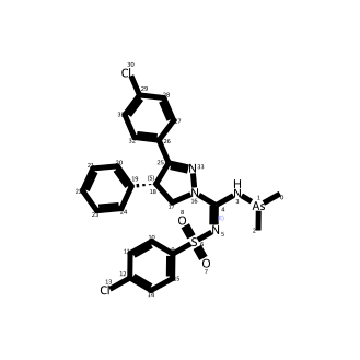 C[As](C)N/C(=N/S(=O)(=O)c1ccc(Cl)cc1)N1C[C@H](c2ccccc2)C(c2ccc(Cl)cc2)=N1